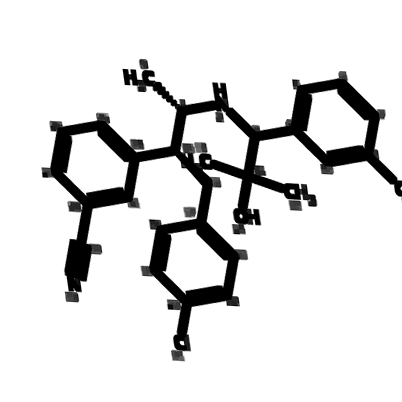 C[C@H](NC(c1cccc(Cl)c1)C(C)(C)O)[C@@H](Cc1ccc(Cl)cc1)c1cccc(C#N)c1